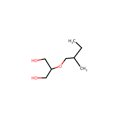 CCC(C)COC(CO)CO